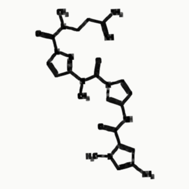 CN(CCC(=N)N)C(=O)n1ccc(N(C)C(=O)n2ccc(NC(=O)c3cc(N)cn3C)c2)n1